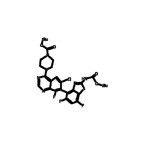 CC(C)(C)OC(=O)Nc1nc2c(-c3c(Cl)cc4c(N5CCN(C(=O)OC(C)(C)C)CC5)ncnc4c3F)c(F)cc(F)c2s1